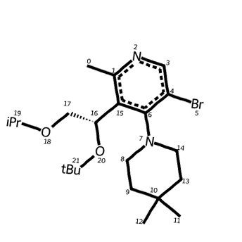 Cc1ncc(Br)c(N2CCC(C)(C)CC2)c1[C@@H](COC(C)C)OC(C)(C)C